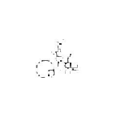 CC(C)(O)CNC(=O)c1nc(C(=O)N2CCCCCCCCCCC3CCC2CC3)c(-c2ccc(C(O)(C(F)(F)F)C(F)(F)F)cc2C(F)F)s1